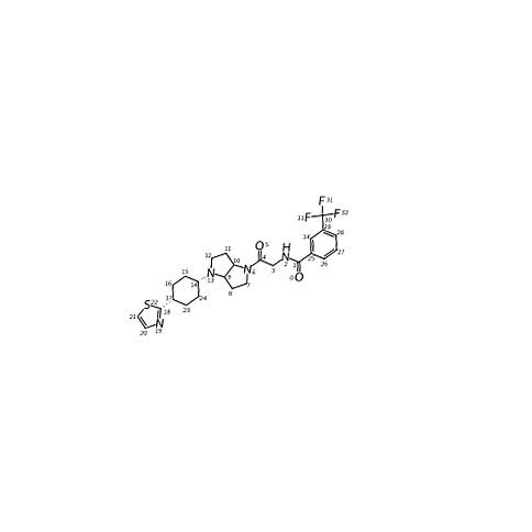 O=C(NCC(=O)N1CCC2C1CCN2[C@H]1CC[C@@H](c2nccs2)CC1)c1cccc(C(F)(F)F)c1